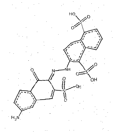 Nc1ccc2c(c1)C=C(S(=O)(=O)O)/C(=N\Nc1ccc3c(S(=O)(=O)O)cccc3c1S(=O)(=O)O)C2=O